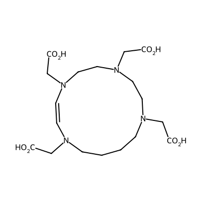 O=C(O)CN1C=CN(CC(=O)O)CCN(CC(=O)O)CCN(CC(=O)O)CCCC1